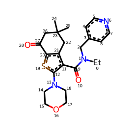 CCN(Cc1ccncc1)C(=O)c1c(N2CCOCC2)sc2c1CC(C)(C)CC2=O